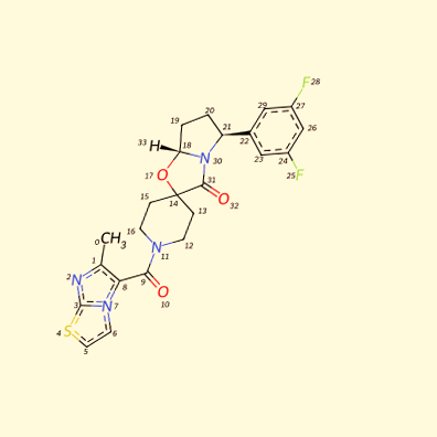 Cc1nc2sccn2c1C(=O)N1CCC2(CC1)O[C@@H]1CC[C@@H](c3cc(F)cc(F)c3)N1C2=O